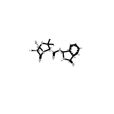 CC1(C)S[C@@H]2[C@H](I)C(=O)N2[C@H]1C(=O)OC1OC(=O)c2ccccc21